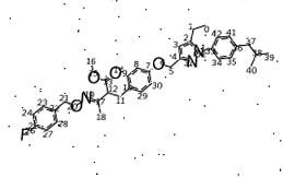 CCc1cc(COc2ccc(CC(C(=O)OC)/C(C)=N/OCc3ccc(F)cc3)cc2)nn1-c1ccc(CC(C)C)cc1